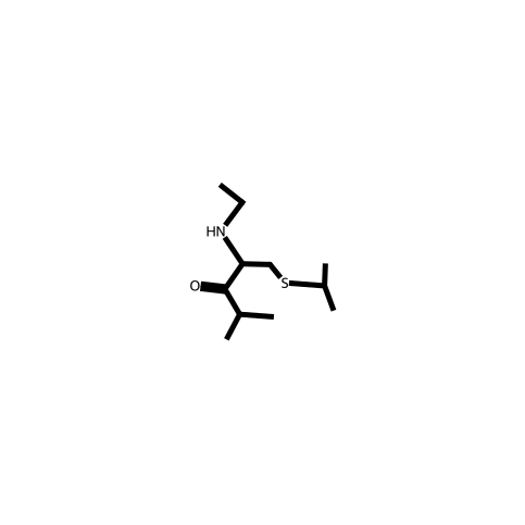 CCNC(CSC(C)C)C(=O)C(C)C